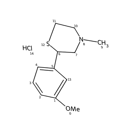 COc1cccc(C2CN(C)CCS2)c1.Cl